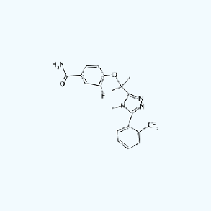 Cn1c(-c2ccccc2C(F)(F)F)nnc1C(C)(C)Oc1ccc(C(N)=O)cc1F